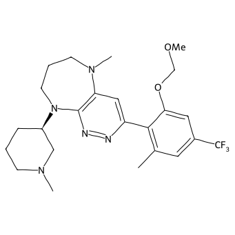 COCOc1cc(C(F)(F)F)cc(C)c1-c1cc2c(nn1)N([C@@H]1CCCN(C)C1)CCCN2C